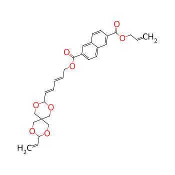 C=CCOC(=O)c1ccc2cc(C(=O)OC/C=C/C=C/C3OCC4(COC(C=C)OC4)CO3)ccc2c1